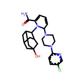 NC(=O)C1=CC=CC(N2CCN(c3ccc(Cl)cn3)CC2)N1C1C2CC3CC1CC(O)(C3)C2